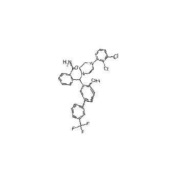 NC(=O)c1ccccc1C(c1cc(-c2cccc(C(F)(F)F)c2)ccc1O)N1CCN(c2cccc(Cl)c2Cl)CC1